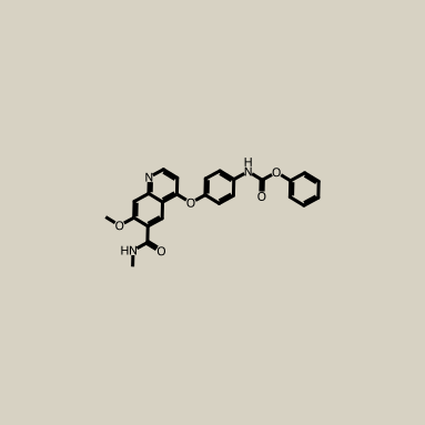 CNC(=O)c1cc2c(Oc3ccc(NC(=O)Oc4ccccc4)cc3)ccnc2cc1OC